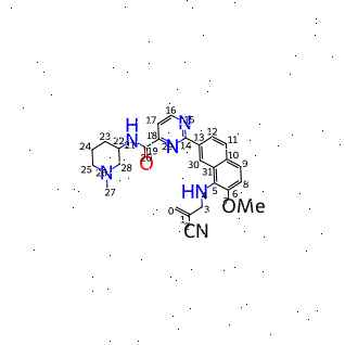 C=C(C#N)CNc1c(OC)ccc2ccc(-c3nccc(C(=O)NC4CCCN(C)C4)n3)cc12